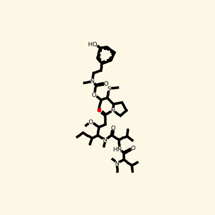 CCC(C)C(C(CC(=O)N1CCCC1C(SC)C(C)OC(=O)N(C)CCc1cccc(O)c1)OC)N(C)C(=O)C(NC(=O)C(C(C)C)N(C)C)C(C)C